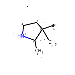 CC(C)C1(C)CCNC1C